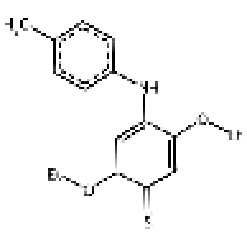 CCOC1=CC(=S)C(OCC)C=C1Nc1ccc(C)cc1